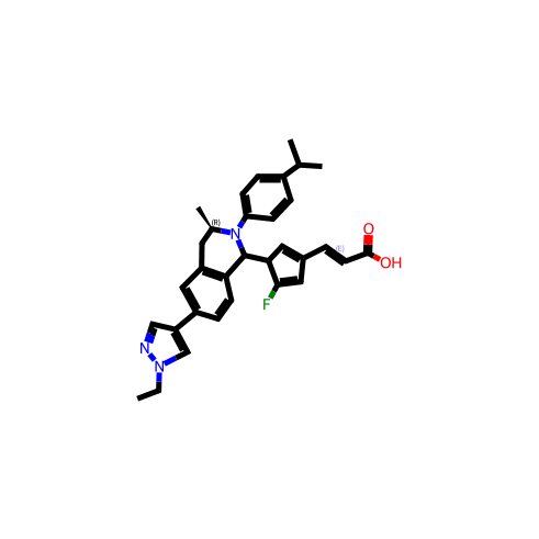 CCn1cc(-c2ccc3c(c2)C[C@@H](C)N(c2ccc(C(C)C)cc2)C3C2C=C(/C=C/C(=O)O)C=C2F)cn1